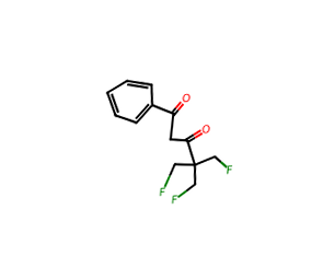 O=C(CC(=O)C(CF)(CF)CF)c1ccccc1